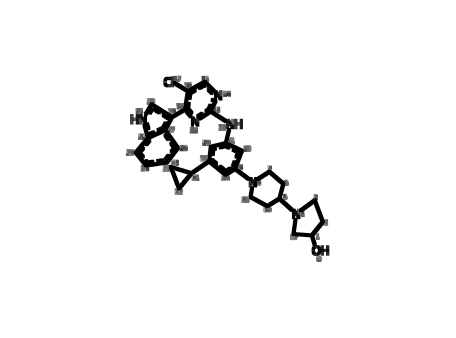 OC1CCN(C2CCN(c3cc(Nc4ncc(Cl)c(-c5c[nH]c6ccccc56)n4)cc(C4CC4)c3)CC2)C1